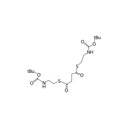 CC(C)(C)OC(=O)NCCSC(=O)CCC(=O)SCCNC(=O)OC(C)(C)C